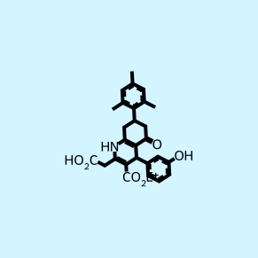 CCOC(=O)C1=C(CC(=O)O)NC2=C(C(=O)CC(c3c(C)cc(C)cc3C)C2)C1c1cccc(O)c1